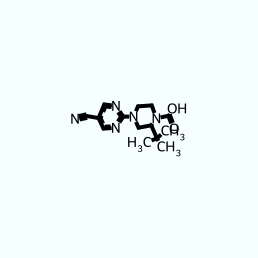 CC(C)(C)C1CN(c2ncc(C#N)cn2)CCN1C(=O)O